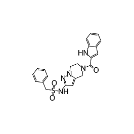 O=C(c1cc2ccccc2[nH]1)N1CCn2nc(NS(=O)(=O)Cc3ccccc3)cc2C1